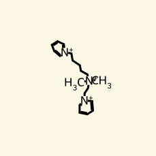 C[N+](C)(CCCCC[n+]1ccccc1)CC[n+]1ccccc1